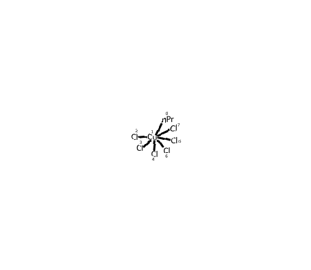 CC[CH2][Cu]([Cl])([Cl])([Cl])([Cl])([Cl])[Cl]